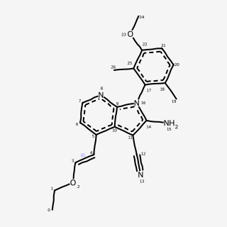 CCO/C=C/c1ccnc2c1c(C#N)c(N)n2-c1c(C)ccc(OC)c1C